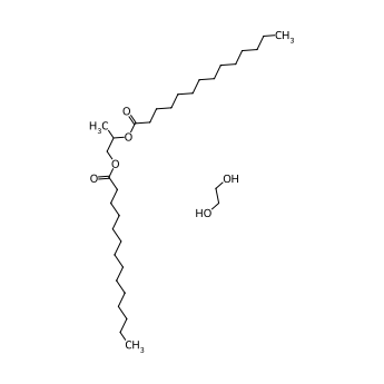 CCCCCCCCCCCCCC(=O)OCC(C)OC(=O)CCCCCCCCCCCCC.OCCO